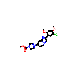 COC(=O)N1CCN(c2ccn3cc(-c4cc(Cl)c(OC)cc4OC)nc3c2)CC1